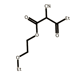 CCOCCOC(=O)C(C#N)C(=O)CC